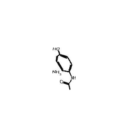 CC(=O)Nc1ccc(O)cc1.N